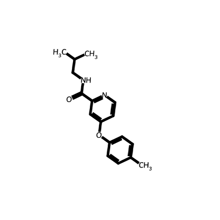 Cc1ccc(Oc2ccnc(C(=O)NCC(C)C)c2)cc1